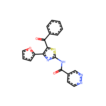 O=C(Nc1nc(-c2ccco2)c(C(=O)c2ccccc2)s1)c1ccnnc1